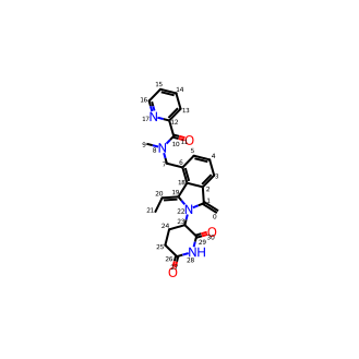 C=c1c2cccc(CN(C)C(=O)c3ccccn3)c2c(=CC)n1C1CCC(=O)NC1=O